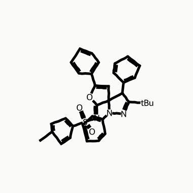 Cc1ccc(S(=O)(=O)/N=C2\OC(c3ccccc3)=CC23C(c2ccccc2)C(C(C)(C)C)=NN3c2ccccc2)cc1